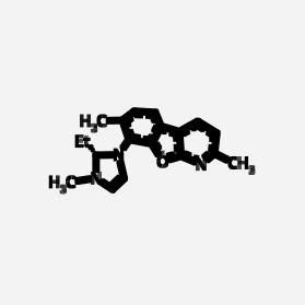 CC[C@H]1N(C)C=CN1c1c(C)ccc2c1oc1nc(C)ccc12